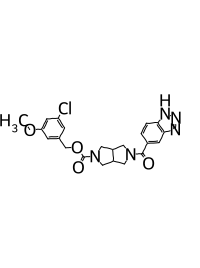 COc1cc(Cl)cc(COC(=O)N2CC3CN(C(=O)c4ccc5[nH]nnc5c4)CC3C2)c1